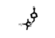 Cc1nn(Cc2ccc(C#N)cc2)c(C)c1N